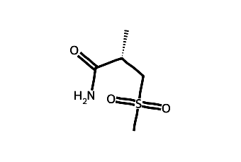 C[C@H](CS(C)(=O)=O)C(N)=O